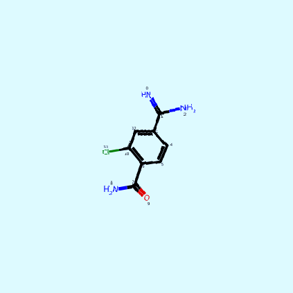 N=C(N)c1ccc(C(N)=O)c(Cl)c1